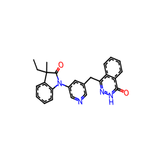 CCC1(C)C(=O)N(c2cncc(Cc3n[nH]c(=O)c4ccccc34)c2)c2ccccc21